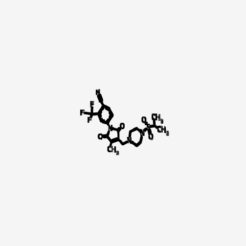 CC1=C(CN2CCN(S(=O)(=O)C(C)C)CC2)C(=O)N(c2ccc(C#N)c(C(F)(F)F)c2)C1=O